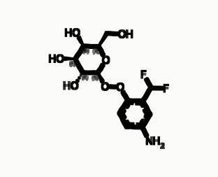 Nc1ccc(OO[C@@H]2O[C@H](CO)[C@H](O)[C@H](O)[C@H]2O)c(C(F)F)c1